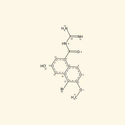 COc1ccc2c(C(=O)NC(=N)N)cccc2c1Br.Cl